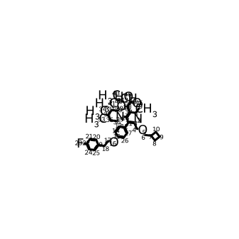 Cc1nc(COCC2CCC2)c(-c2ccc(OCCc3ccc(F)cc3)cc2)c(N2CCC(C)(C)CC2)c1[C@H](OC(C)(C)C)C(=O)O